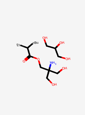 CCCCC(CC)C(=O)OCC(N)(CO)CO.OCC(O)CO